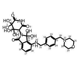 O=C1NC(=O)C(O)(O)C(O)(O)C1N1C(=O)c2cccc(NCc3ccc(CN4CCOCC4)cc3)c2C1(O)O